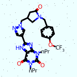 CCCn1c(=O)c2[nH]c(-c3cnn(CC4CC(=O)N(Cc5ccc(OC(F)(F)F)cc5)C4)c3)nc2n(CCC)c1=O